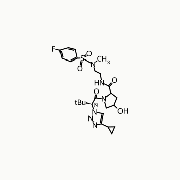 CN(CCNC(=O)C1CC(O)CN1C(=O)[C@@H](n1cc(C2CC2)nn1)C(C)(C)C)S(=O)(=O)c1ccc(F)cc1